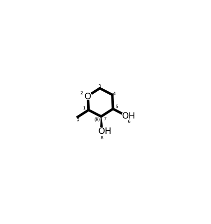 CC1OCCC(O)[C@H]1O